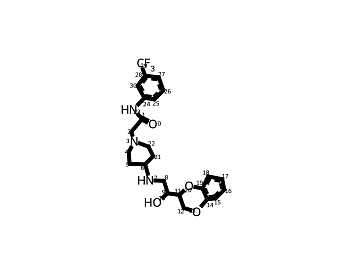 O=C(CN1CCC(NCC(O)C2COc3ccccc3O2)CC1)Nc1cccc(C(F)(F)F)c1